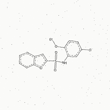 CCOc1ccc(Cl)cc1NS(=O)(=O)c1cc2ccccc2o1